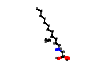 CCCCCCCCCCCCNCC(=O)O.[NaH]